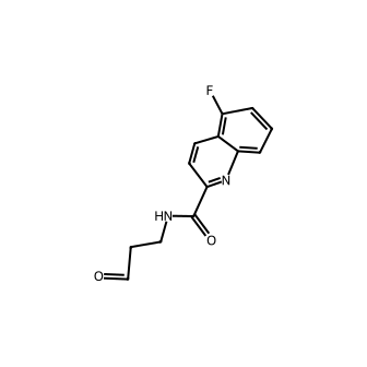 O=CCCNC(=O)c1ccc2c(F)cccc2n1